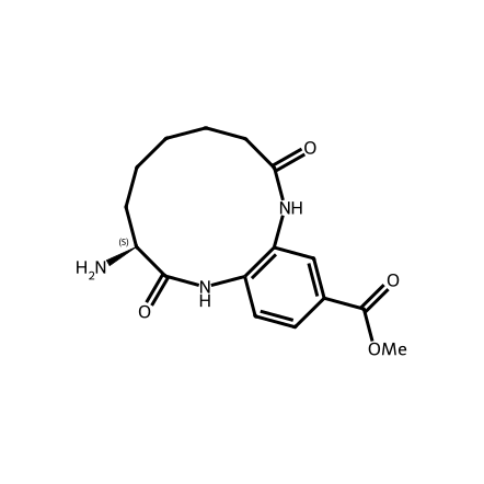 COC(=O)c1ccc2c(c1)NC(=O)CCCCC[C@H](N)C(=O)N2